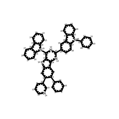 c1ccc(-c2cc3c(cc2-c2cccnc2)sc2c(-n4c5ccccc5c5ccccc54)nc(-c4ccc5c(c4)c4ccccc4n5-c4ccccc4)nc23)cc1